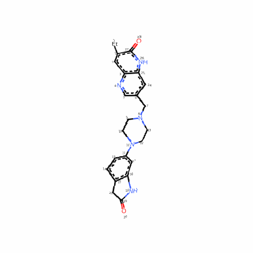 CCc1cc2ncc(CN3CCN(c4ccc5c(c4)NC(=O)C5)CC3)cc2[nH]c1=O